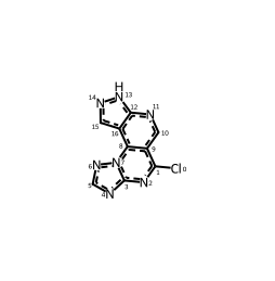 Clc1nc2ncnn2c2c1cnc1[nH]ncc12